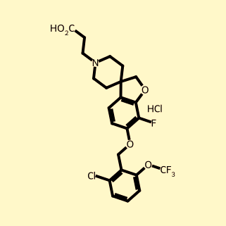 Cl.O=C(O)CCN1CCC2(CC1)COc1c2ccc(OCc2c(Cl)cccc2OC(F)(F)F)c1F